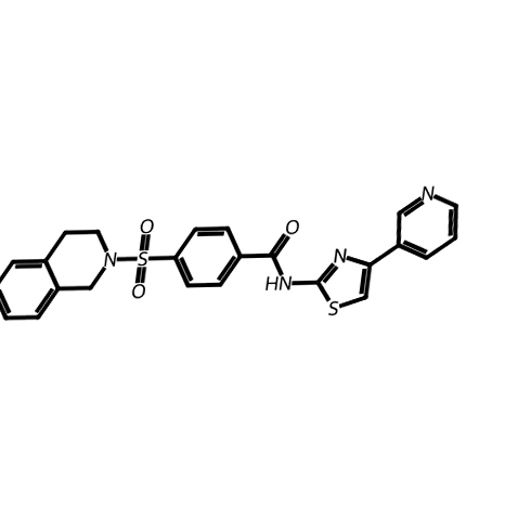 O=C(Nc1nc(-c2cccnc2)cs1)c1ccc(S(=O)(=O)N2CCc3ccccc3C2)cc1